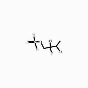 CC(Cl)C(Cl)(Cl)COP(=O)(Cl)Cl